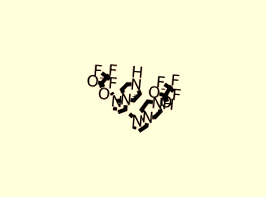 CC[N+]1(N(C)C)CCNCC1.CC[N+]1(N(C)C)CCNCC1.O=C([O-])C(F)(F)F.O=C([O-])C(F)(F)F